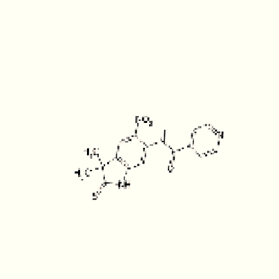 CC1(C)C(=S)Nc2cc(NC(=O)c3ccncc3)c([N+](=O)[O-])cc21